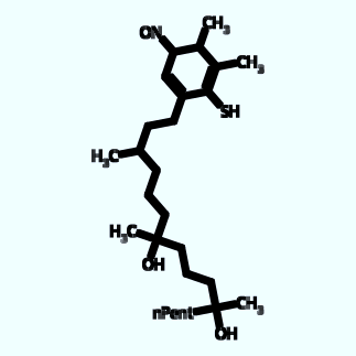 CCCCCC(C)(O)CCCC(C)(O)CCCC(C)CCC1=CC(N=O)C(C)C(C)=C1S